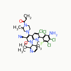 C=CC(=O)N1CCN(c2c(C#N)c(=O)n(C3C(C(C)C)=NC=CC3C)c3nc(-c4c(F)c(Cl)c(Cl)c(N)c4Cl)c(Cl)cc23)C[C@H]1C